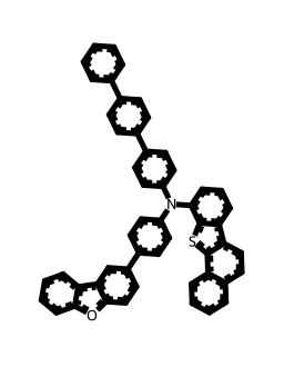 c1ccc(-c2ccc(-c3ccc(N(c4ccc(-c5ccc6oc7ccccc7c6c5)cc4)c4cccc5c4sc4c6ccccc6ccc54)cc3)cc2)cc1